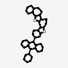 c1ccc(-c2c3ccccc3c(-c3ccc4c(c3)oc3ccc5c6ccc7ccccc7c6oc5c34)c3ccccc23)cc1